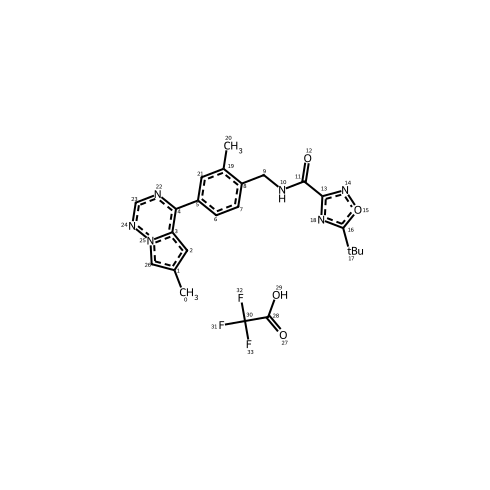 Cc1cc2c(-c3ccc(CNC(=O)c4noc(C(C)(C)C)n4)c(C)c3)ncnn2c1.O=C(O)C(F)(F)F